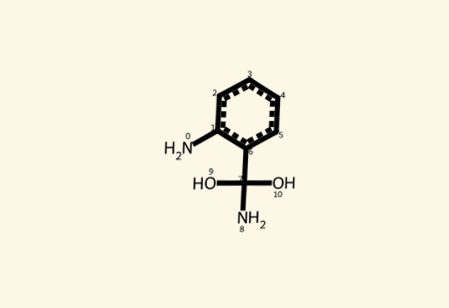 Nc1ccccc1C(N)(O)O